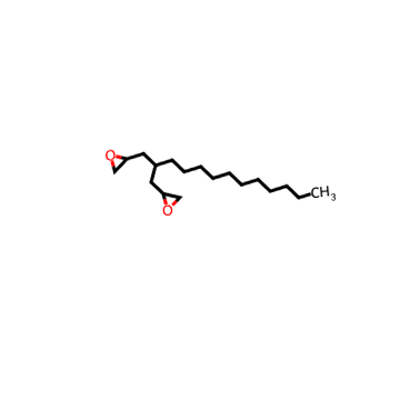 CCCCCCCCCCCC(CC1CO1)CC1CO1